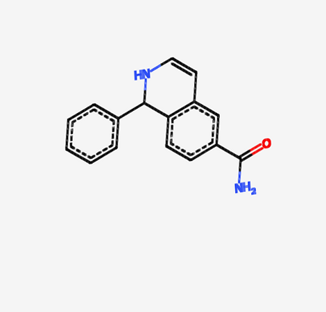 NC(=O)c1ccc2c(c1)C=CNC2c1ccccc1